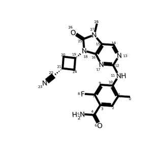 Cc1cc(C(N)=O)c(F)cc1Nc1ncc2c(n1)n([C@H]1C[C@@H](C#N)C1)c(=O)n2C